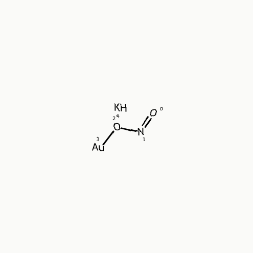 O=N[O][Au].[KH]